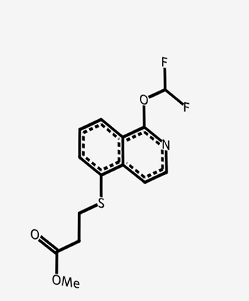 COC(=O)CCSc1cccc2c(OC(F)F)nccc12